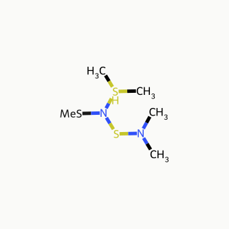 CSN(SN(C)C)[SH](C)C